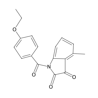 CCOc1ccc(C(=O)N2C(=O)C(=O)c3c(C)cccc32)cc1